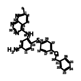 Cc1ccc2c(Nc3cc(N)ccc3Sc3ccc(OCc4ccccc4)cc3)ncnc2n1